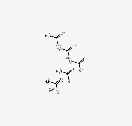 NC(=O)[O-].NC(=O)[O-].NC(=O)[O-].NC(=O)[O-].NC(=O)[O-].[Co+5]